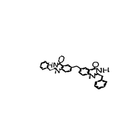 O=c1[nH]c(Cc2ccccc2)nc2ccc(Cc3ccc4nc(Cc5ccccc5)[nH]c(=O)c4c3)cc12